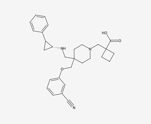 N#Cc1cccc(OCC2(CN[C@@H]3CC3c3ccccc3)CCN(CC3(C(=O)O)CCC3)CC2)c1